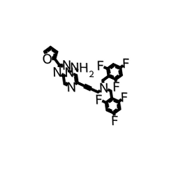 N[N+]12C=C(C#CCN(Cc3c(F)cc(F)cc3F)Cc3c(F)cc(F)cc3F)N=CC1=NC(c1ccco1)=N2